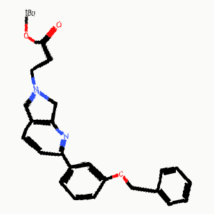 CC(C)(C)OC(=O)CCN1Cc2ccc(-c3cccc(OCc4ccccc4)c3)nc2C1